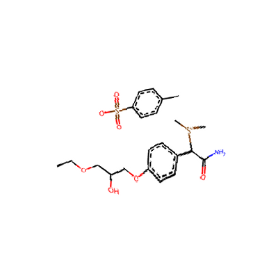 CCOCC(O)COc1ccc(C(C(N)=O)[S+](C)C)cc1.Cc1ccc(S(=O)(=O)[O-])cc1